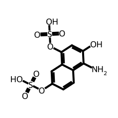 Nc1c(O)cc(OS(=O)(=O)O)c2cc(OS(=O)(=O)O)ccc12